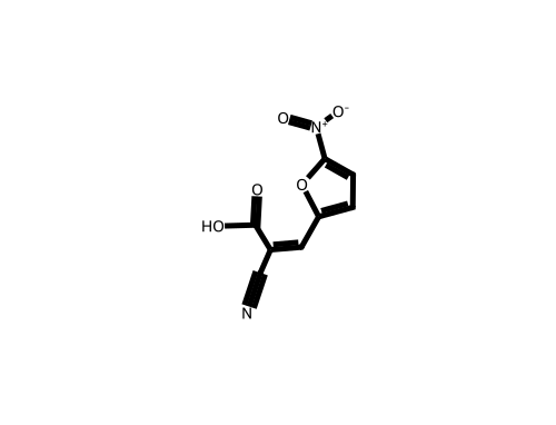 N#CC(=Cc1ccc([N+](=O)[O-])o1)C(=O)O